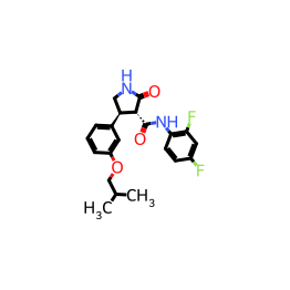 CC(C)COc1cccc([C@H]2CNC(=O)[C@@H]2C(=O)Nc2ccc(F)cc2F)c1